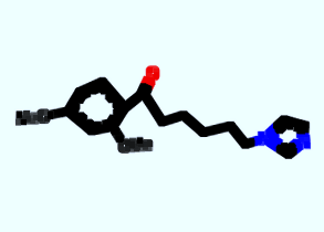 COc1ccc(C(=O)CCCCCn2ccnc2)c(OC)c1